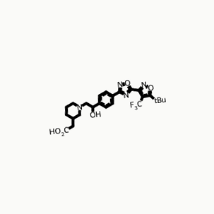 CC(C)(C)c1onc(-c2nc(-c3ccc(C(O)CN4CCCC(CC(=O)O)C4)cc3)no2)c1C(F)(F)F